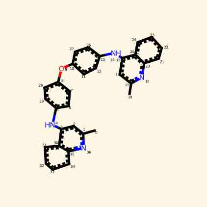 Cc1cc(Nc2ccc(Oc3ccc(Nc4cc(C)nc5ccccc45)cc3)cc2)c2ccccc2n1